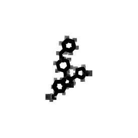 Cc1ccc2c(c1)nc(C1CCNC1)n2C1CCN(Cc2ccccc2)CC1